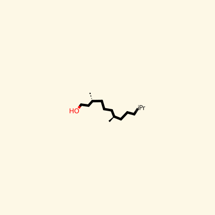 CC(C)CCC[C@@H](C)CCC[C@@H](C)CCO